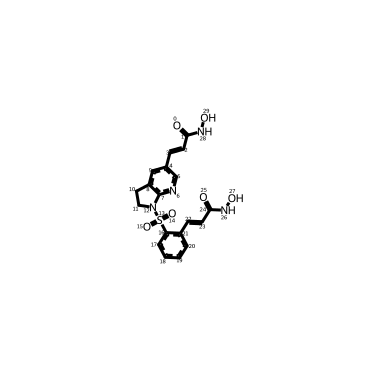 O=C(C=Cc1cnc2c(c1)CCN2S(=O)(=O)c1ccccc1C=CC(=O)NO)NO